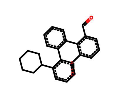 O=Cc1cccc(C=O)c1-c1ccccc1-c1ccccc1C1CCCCC1